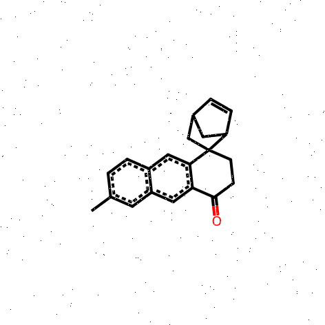 Cc1ccc2cc3c(cc2c1)C(=O)CCC31CC2C=CC1C2